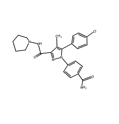 Cc1c(C(=O)NN2CCCCC2)nn(-c2ccc(C(N)=O)cc2)c1-c1ccc(Cl)cc1